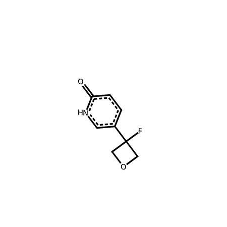 O=c1ccc(C2(F)COC2)c[nH]1